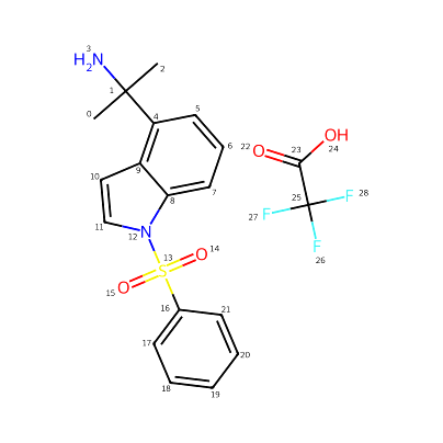 CC(C)(N)c1cccc2c1ccn2S(=O)(=O)c1ccccc1.O=C(O)C(F)(F)F